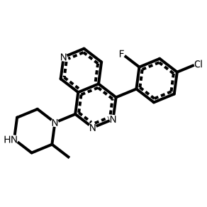 CC1CNCCN1c1nnc(-c2ccc(Cl)cc2F)c2ccncc12